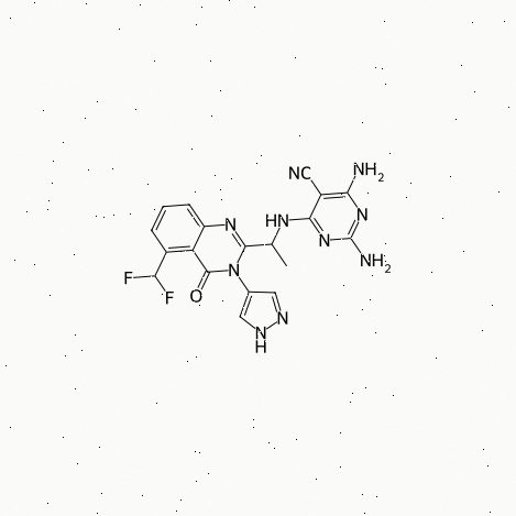 CC(Nc1nc(N)nc(N)c1C#N)c1nc2cccc(C(F)F)c2c(=O)n1-c1cn[nH]c1